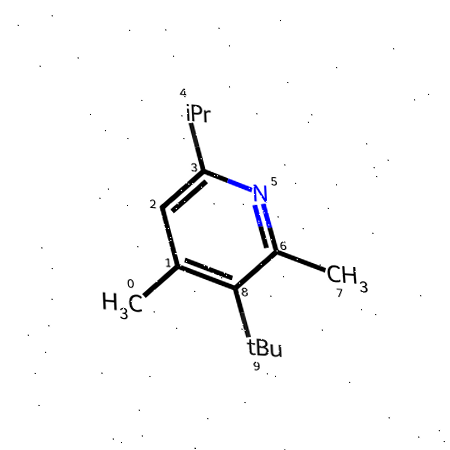 Cc1cc(C(C)C)nc(C)c1C(C)(C)C